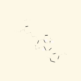 C=C(\C=C(C(/C(C)=N\C)=C(/C(=C)C)C(=C)CCCCN(CCCC)C(=O)OC(C)(C)C)\C1CC1)C1=CC(C#N)=CC=C=C1C